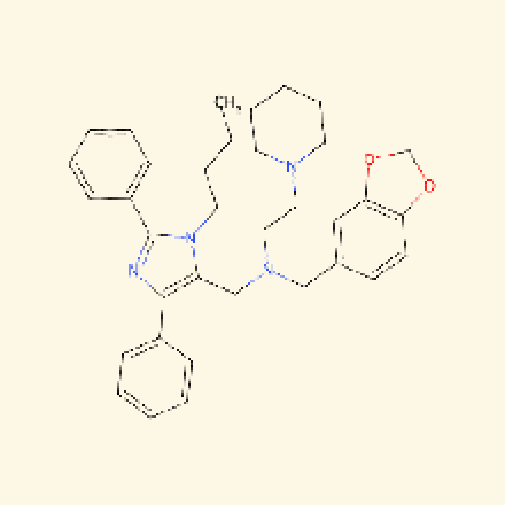 CCCCn1c(-c2ccccc2)nc(-c2ccccc2)c1CN(CCN1CCCCC1)Cc1ccc2c(c1)OCO2